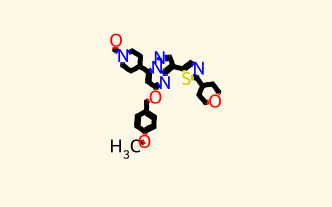 COc1ccc(COc2cc(C3CCN(C=O)CC3)n3ncc(-c4cnc(C5CCOCC5)s4)c3n2)cc1